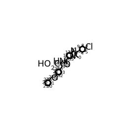 Cc1c(-c2ccc(Cl)cc2)nc2ccc(C(=O)N[C@@H](Cc3ccc(OCc4ccccc4)cc3)C(=O)O)cn12